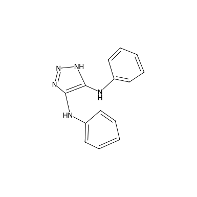 c1ccc(Nc2nn[nH]c2Nc2ccccc2)cc1